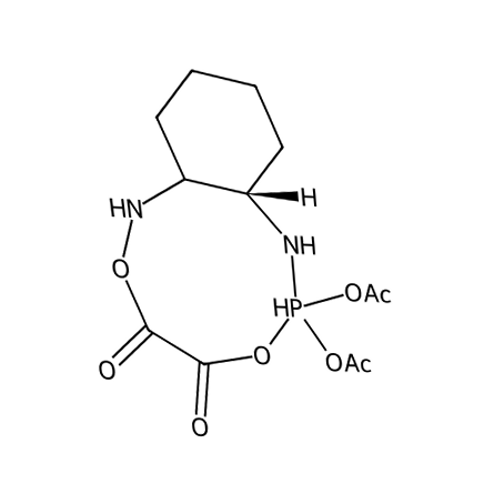 CC(=O)O[PH]1(OC(C)=O)N[C@H]2CCCCC2NOC(=O)C(=O)O1